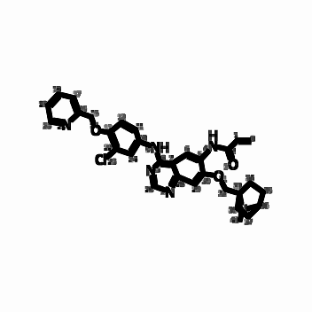 C=CC(=O)Nc1cc2c(Nc3ccc(OCc4ccccn4)c(Cl)c3)ncnc2cc1OCC12CCC(CC1)N2C